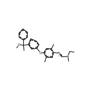 CCN(C)/C=N/c1cc(C)c(Oc2cccc(C(C)(OC)c3ccccc3)c2)cc1C